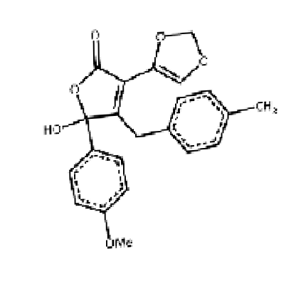 COc1ccc(C2(O)OC(=O)C(C3=COCO3)=C2Cc2ccc(C)cc2)cc1